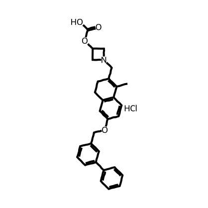 CC1=C(CN2CC(OC(=O)O)C2)CCc2cc(OCc3cccc(-c4ccccc4)c3)ccc21.Cl